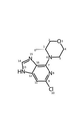 C[C@@H]1COCCN1c1nc(Cl)cc2[nH]cnc12